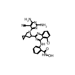 N#Cc1c(N)nc(N)nc1N1CC2(CC2)CC1c1nc(Nc2ccccc2C(=O)NO)c2c(Cl)cccc2n1